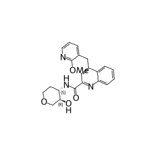 COc1ncccc1Cc1cc(C(=O)N[C@H]2CCOC[C@@H]2O)nc2ccccc12